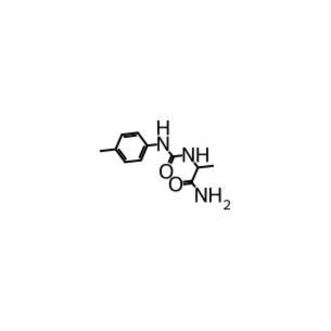 Cc1ccc(NC(=O)NC(C)C(N)=O)cc1